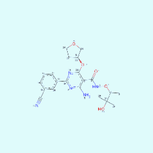 CC(ONC(=O)c1c(N)nc(-c2cccc(C#N)c2)nc1O[C@H]1CCOC1)C(C)(C)O